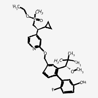 CCOP(C)(=O)C[C@H](c1ccnc(OCc2ccc(-c3cc(O)ccc3F)c([C@@H](OC)C(C)(C)C)c2)c1)C1CC1